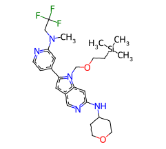 CN(CC(F)(F)F)c1cc(-c2cc3cnc(NC4CCOCC4)cc3n2COCC[Si](C)(C)C)ccn1